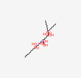 CCCCCCCCCCCOC(=O)C(O)CCCCN(CCCCCCC(O)(O)C(=O)OC(CCCCCCCC)CCCCCCCC)C(O)(O)CO